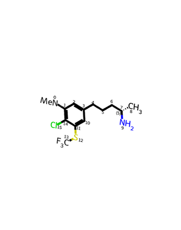 CNc1cc(CCC[C@H](C)N)cc(SC(F)(F)F)c1Cl